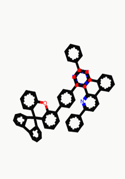 c1ccc(-c2ccc(-c3ccccc3-c3nc(-c4ccccc4)nc(-c4ccc(-c5cccc6c5Oc5ccccc5C65c6ccccc6-c6ccccc65)cc4)n3)c(-c3ccccc3)n2)cc1